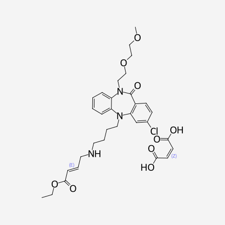 CCOC(=O)/C=C/CNCCCCN1c2cc(Cl)ccc2C(=O)N(CCOCCOC)c2ccccc21.O=C(O)/C=C\C(=O)O